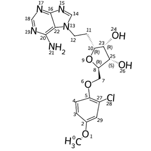 COc1ccc(OC[C@H]2O[C@H](CCn3cnc4ncnc(N)c43)[C@H](O)[C@@H]2O)c(Cl)c1